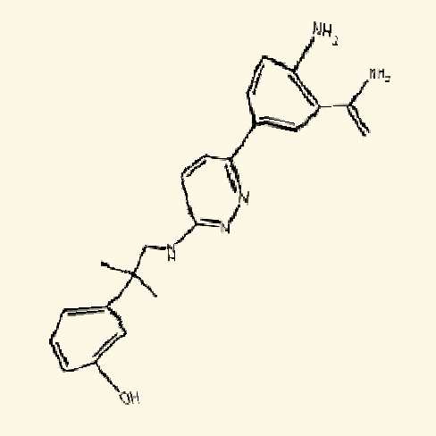 C=C(N)c1cc(-c2ccc(NCC(C)(C)c3cccc(O)c3)nn2)ccc1N